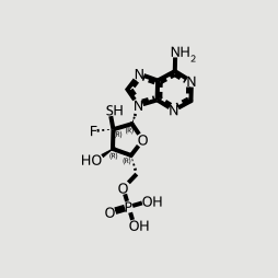 Nc1ncnc2c1ncn2[C@@H]1O[C@H](COP(=O)(O)O)[C@@H](O)[C@@]1(F)S